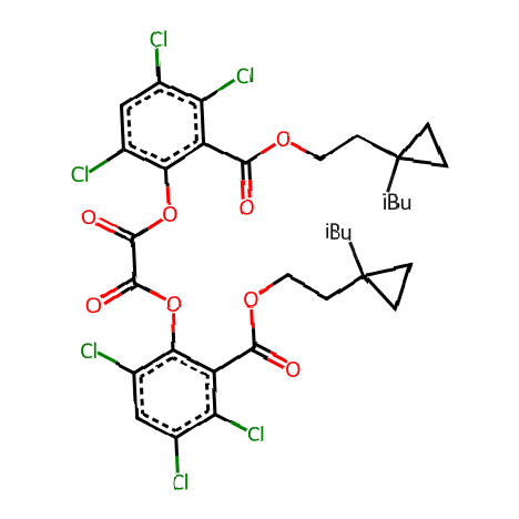 CCC(C)C1(CCOC(=O)c2c(Cl)c(Cl)cc(Cl)c2OC(=O)C(=O)Oc2c(Cl)cc(Cl)c(Cl)c2C(=O)OCCC2(C(C)CC)CC2)CC1